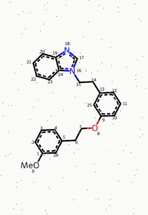 COc1cccc(CCOc2cccc(CCn3cnc4ccccc43)c2)c1